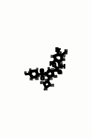 Cc1ccc(S(=O)(=O)n2cc(S(=O)(=O)Nc3cc(F)c(Br)cc3F)cc2C2CCC2)cc1